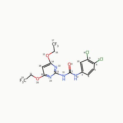 O=C(Nc1ccc(Cl)c(Cl)c1)Nc1nc(OCC(F)(F)F)cc(OCC(F)(F)F)n1